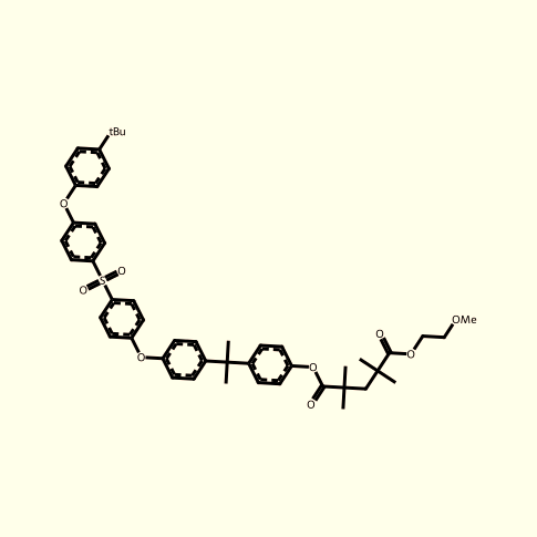 COCCOC(=O)C(C)(C)CC(C)(C)C(=O)Oc1ccc(C(C)(C)c2ccc(Oc3ccc(S(=O)(=O)c4ccc(Oc5ccc(C(C)(C)C)cc5)cc4)cc3)cc2)cc1